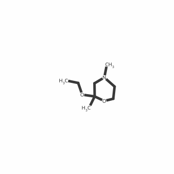 CCOC1(C)CN(C)CCO1